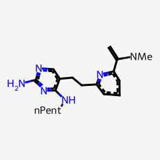 C=C(NC)c1cccc(CCc2cnc(N)nc2NCCCCC)n1